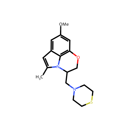 COc1cc2c3c(c1)cc(C)n3C(CN1CCSCC1)CO2